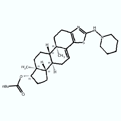 CCCCC(=O)O[C@H]1CC[C@H]2[C@@H]3CC=C4c5sc(NN6CCCCC6)nc5CC[C@]4(C)[C@H]3CC[C@]12C